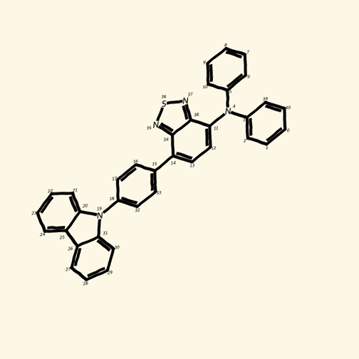 c1ccc(N(c2ccccc2)c2ccc(-c3ccc(-n4c5ccccc5c5ccccc54)cc3)c3nsnc23)cc1